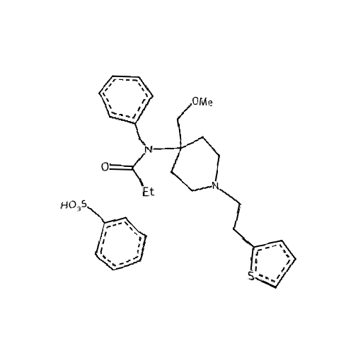 CCC(=O)N(c1ccccc1)C1(COC)CCN(CCc2cccs2)CC1.O=S(=O)(O)c1ccccc1